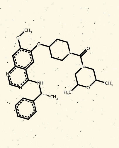 COc1cc2ncnc(N[C@H](C)c3ccccc3)c2cc1OC1CCN(C(=O)N2CC(C)OC(C)C2)CC1